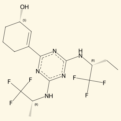 CC[C@@H](Nc1nc(N[C@H](C)C(F)(F)F)nc(C2=C[C@@H](O)CCC2)n1)C(F)(F)F